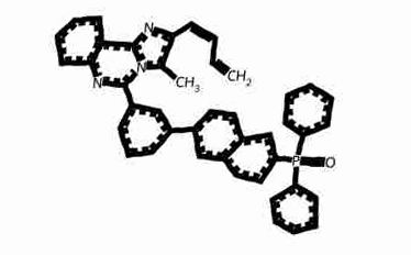 C=C/C=C\c1nc2c3ccccc3nc(-c3cccc(-c4ccc5cc(P(=O)(c6ccccc6)c6ccccc6)ccc5c4)c3)n2c1C